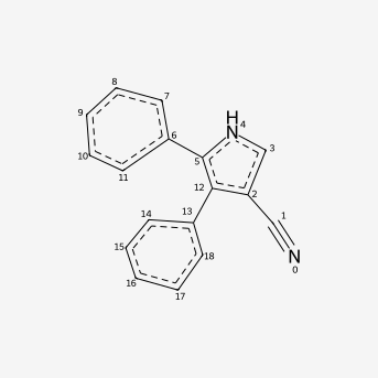 N#Cc1c[nH]c(-c2ccccc2)c1-c1ccccc1